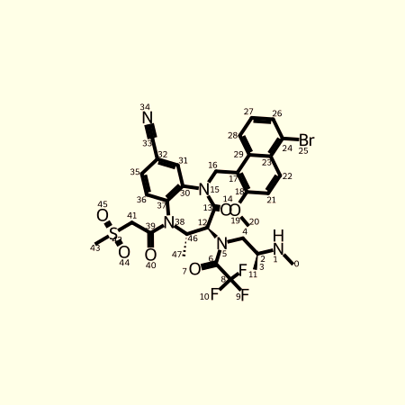 CN[C@@H](C)CN(C(=O)C(F)(F)F)[C@@H]1C(=O)N(Cc2c(OC)ccc3c(Br)cccc23)c2cc(C#N)ccc2N(C(=O)CS(C)(=O)=O)[C@H]1C